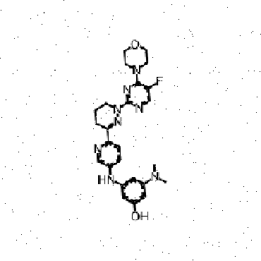 CN(C)c1cc(O)cc(Nc2ccc(C3=NN(c4ncc(F)c(N5CCOCC5)n4)CCC3)nc2)c1